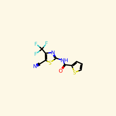 N#Cc1sc(NC(=O)c2cccs2)nc1C(F)(F)F